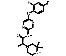 CC(C(=O)Nc1cnc(Oc2ccc(F)cc2F)cn1)N1CCNC(C)(C)C1